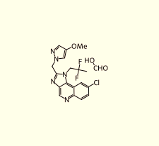 COc1cnn(Cc2nc3cnc4ccc(Cl)cc4c3n2CC(C)(F)F)c1.O=CO